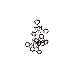 CN1C(c2ccccc2)=NC(c2ccccc2)=NC1c1cccc(C2=NC(n3c4ccccc4c4ccc5c6ccccc6n(-c6ccc7c8ccccc8c8ccccc8c7c6)c5c43)NC(c3ccccc3)=N2)c1